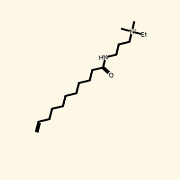 C=CCCCCCCCCC(=O)NCCC[N+](C)(C)CC